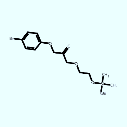 CC(C)(C)[Si](C)(C)OCCOCC(=O)COc1ccc(Br)cc1